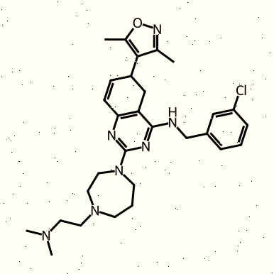 Cc1noc(C)c1C1C=Cc2nc(N3CCCN(CCN(C)C)CC3)nc(NCc3cccc(Cl)c3)c2C1